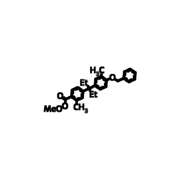 CCC(CC)(c1ccc(OCc2ccccc2)c(C)c1)c1ccc(C(=O)OOC)c(C)c1